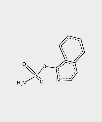 NS(=O)(=O)Oc1nccc2ccccc12